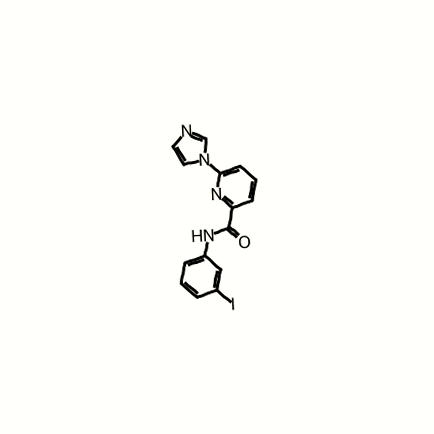 O=C(Nc1cccc(I)c1)c1cccc(-n2ccnc2)n1